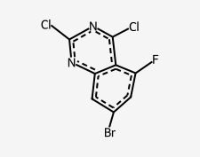 Fc1cc(Br)cc2nc(Cl)nc(Cl)c12